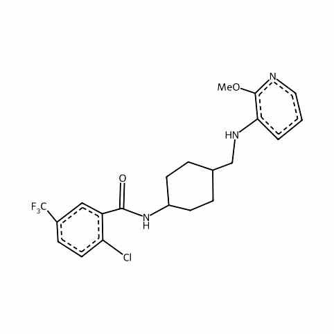 COc1ncccc1NCC1CCC(NC(=O)c2cc(C(F)(F)F)ccc2Cl)CC1